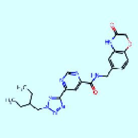 CCC(CC)Cn1nnc(-c2cc(C(=O)NCc3ccc4c(c3)NC(=O)CO4)ncn2)n1